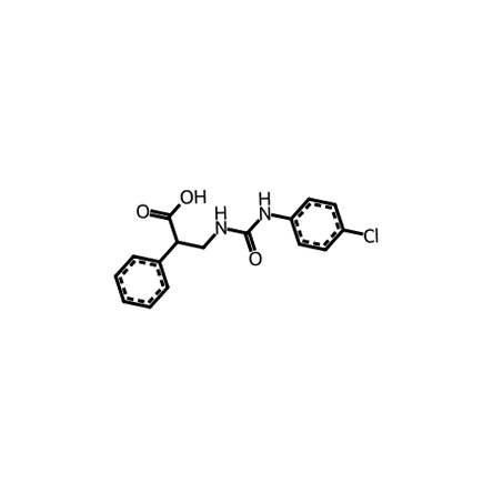 O=C(NCC(C(=O)O)c1ccccc1)Nc1ccc(Cl)cc1